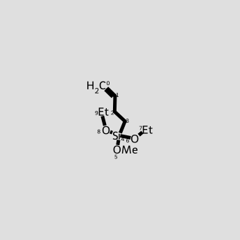 C=CCC[Si](OC)(OCC)OCC